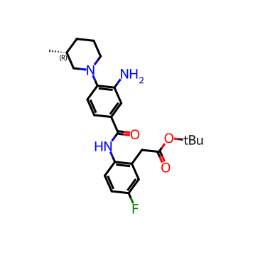 C[C@@H]1CCCN(c2ccc(C(=O)Nc3ccc(F)cc3CC(=O)OC(C)(C)C)cc2N)C1